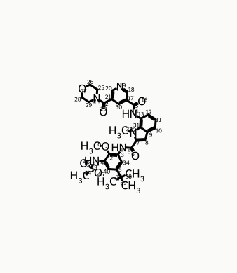 COc1c(NC(=O)c2cc3cccc(NC(=O)c4cncc(C(=O)N5CCOCC5)c4)c3n2C)cc(C(C)(C)C)cc1NS(C)(=O)=O